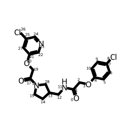 O=C(COc1ccc(Cl)cc1)NCC1CCN(C(=O)COc2cncc(Cl)c2)C1